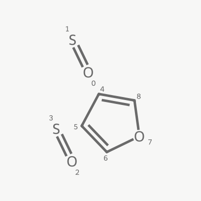 O=S.O=S.c1ccoc1